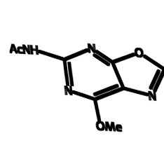 COc1nc(NC(C)=O)nc2ocnc12